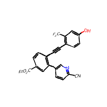 CCOC(=O)c1ccc(C#Cc2ccc(O)cc2C(F)(F)F)c(-c2ccc(C#N)nc2)c1